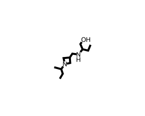 CCC(CO)NCC1CN(C(C)CC)C1